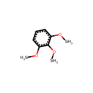 [SiH3]Oc1c[c]cc(O[SiH3])c1O[SiH3]